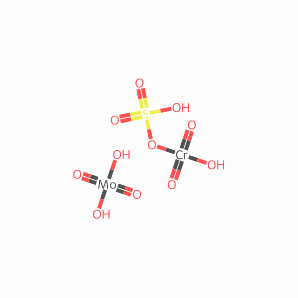 O=S(=O)(O)[O][Cr](=[O])(=[O])[OH].[O]=[Mo](=[O])([OH])[OH]